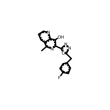 Cc1nc(-c2nnc(Cc3ccc(F)cc3)o2)c(O)c2ncccc12